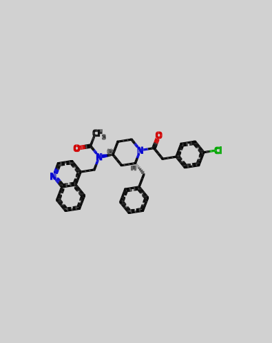 O=C(Cc1ccc(Cl)cc1)N1CC[C@H](N(Cc2ccnc3ccccc23)C(=O)C(F)(F)F)C[C@H]1Cc1ccccc1